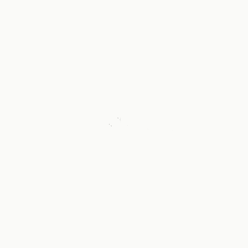 CCOC(=O)c1ccc(-c2nn(CCc3ccccc3)c3ccccc23)o1